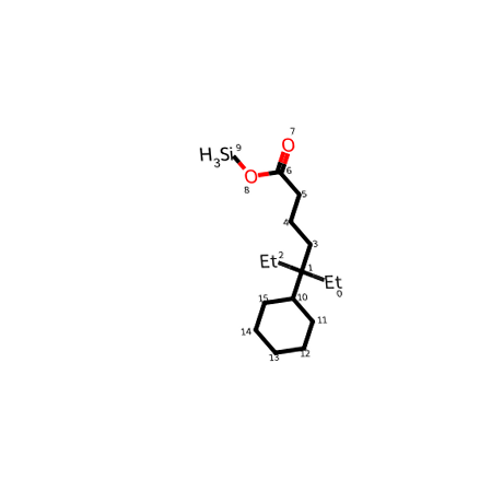 CCC(CC)(CCCC(=O)O[SiH3])C1CCCCC1